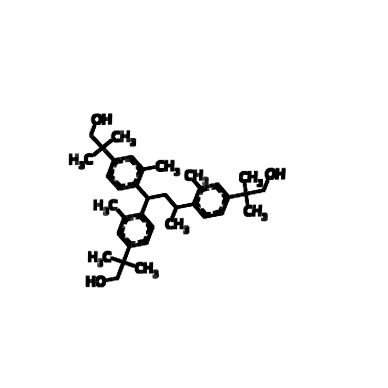 Cc1cc(C(C)(C)CO)ccc1C(C)CC(c1ccc(C(C)(C)CO)cc1C)c1ccc(C(C)(C)CO)cc1C